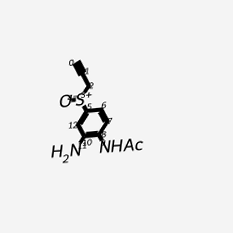 C#CC[S+]([O-])c1ccc(NC(C)=O)c(N)c1